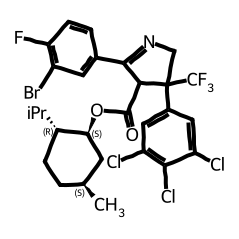 CC(C)[C@H]1CC[C@H](C)C[C@@H]1OC(=O)C1C(c2ccc(F)c(Br)c2)=NCC1(c1cc(Cl)c(Cl)c(Cl)c1)C(F)(F)F